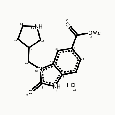 COC(=O)c1ccc2[nH]c(=O)n(CC3CCNC3)c2c1.Cl